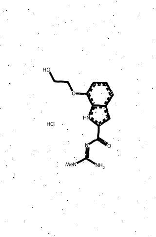 CNC(N)=NC(=O)c1cc2cccc(OCCO)c2[nH]1.Cl